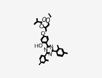 C=C(C)C(=O)OC(COCC)COc1ccc(-c2nc(-c3ccc(C)cc3C)nc(-c3ccc(C)cc3C)n2)c(O)c1